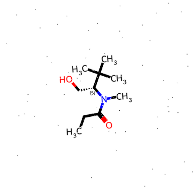 CCC(=O)N(C)[C@H](CO)C(C)(C)C